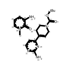 CC(C)(C)OC(=O)N1CC=C(c2ccnc(N)n2)CC1.Cn1cccc(N)c1=O